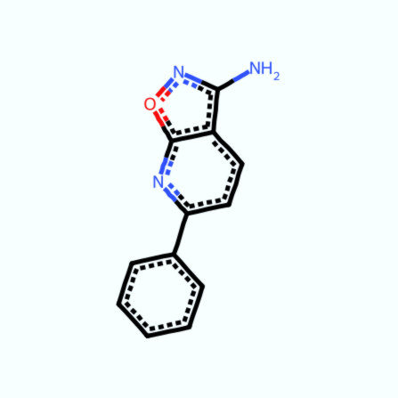 Nc1noc2nc(-c3ccccc3)ccc12